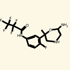 CC1(c2cc(NC(=O)C(F)(F)C(F)(F)F)ccc2F)CNCC(N)O1